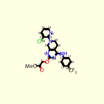 COC(=O)COc1nc2c(c(Nc3ccc(C(F)(F)F)cc3)n1)CCN(c1ncccc1Cl)C2